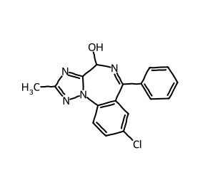 Cc1nc2n(n1)-c1ccc(Cl)cc1C(c1ccccc1)=NC2O